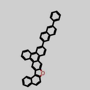 c1ccc(-c2ccc3cc(-c4ccc5c(c4)c4ccccc4c4cc6c(cc54)oc4ccc5ccccc5c46)ccc3c2)cc1